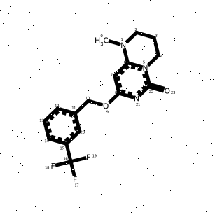 CN1CCCn2c1cc(OCc1cccc(C(F)(F)F)c1)nc2=O